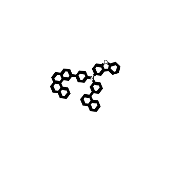 c1cc(-c2cccc3ccccc23)cc(N(c2ccc(-c3ccc4ccc5ccc6ccccc6c5c4c3)cc2)c2ccc3oc4ccccc4c3c2)c1